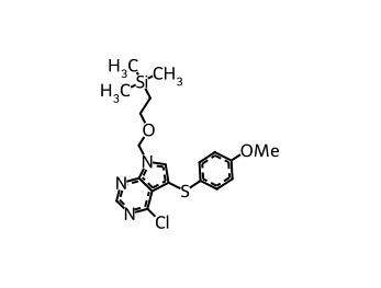 COc1ccc(Sc2cn(COCC[Si](C)(C)C)c3ncnc(Cl)c23)cc1